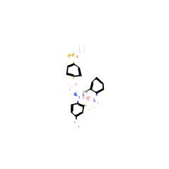 CS(=O)(=O)c1ccc(S(=O)(=O)NNc2ccc([N+](=O)[O-])cc2S(=O)(=O)Nc2ccccc2Cl)cc1